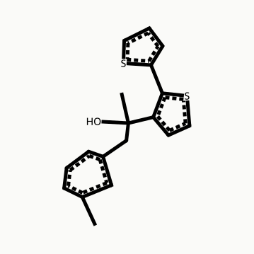 Cc1cccc(CC(C)(O)c2ccsc2-c2cccs2)c1